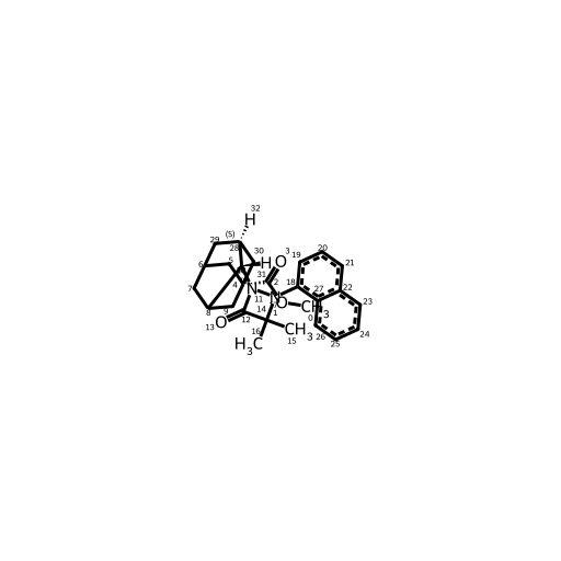 COC(=O)[C@@]12CC3CC(C1)[C@@H](N1C(=O)C(C)(C)N1c1cccc4ccccc14)[C@@H](C3)C2